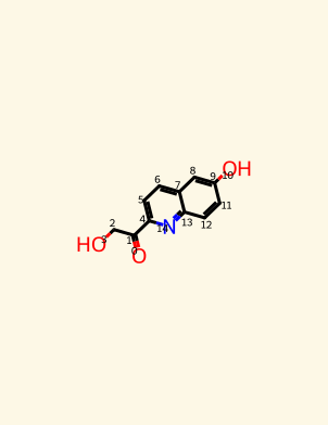 O=C(CO)c1ccc2cc(O)ccc2n1